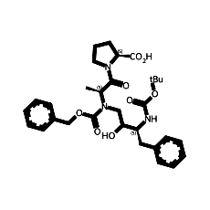 C[C@@H](C(=O)N1CCC[C@H]1C(=O)O)N(CC(O)[C@H](Cc1ccccc1)NC(=O)OC(C)(C)C)C(=O)OCc1ccccc1